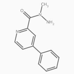 CN(N)C(=O)c1cc(-c2ccccc2)ccn1